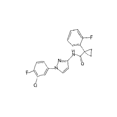 O=C(Nc1ccn(-c2ccc(F)c(Cl)c2)n1)C1(c2ccccc2F)CC1